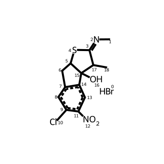 Br.CN=C1SC2Cc3cc(Cl)c([N+](=O)[O-])cc3C2(O)C1C